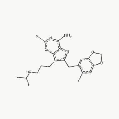 Cc1cc2c(cc1Cc1nc3c(N)nc(F)nc3n1CCCNC(C)C)OCO2